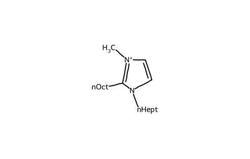 CCCCCCCCc1n(CCCCCCC)cc[n+]1C